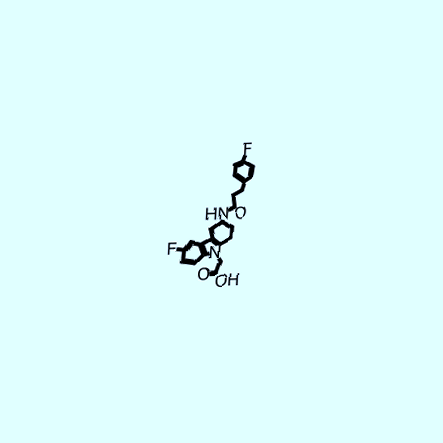 O=C(O)Cn1c2c(c3cc(F)ccc31)CC(NC(=O)CCc1ccc(F)cc1)CC2